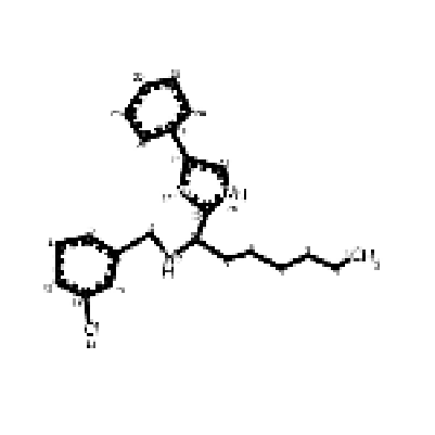 CCCCCCC(NCc1cccc(Cl)c1)c1nc(-c2ccccc2)c[nH]1